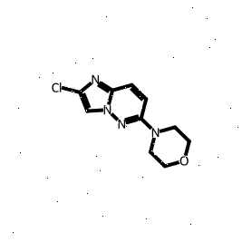 Clc1cn2nc(N3CCOCC3)ccc2n1